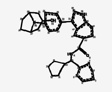 O=C(NC(c1ncccn1)C1CCCC1)c1ccc2[nH]nc(-c3ccc(N4C5CCC4CC(O)C5)cc3)c2c1